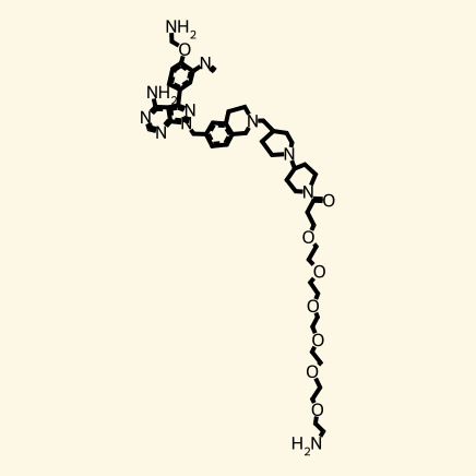 C=Nc1cc(-c2nn(Cc3ccc4c(c3)CCN(CC3CCN(C5CCN(C(=O)CCOCCOCCOCCOCCOCCOCCN)CC5)CC3)C4)c3ncnc(N)c23)ccc1OCN